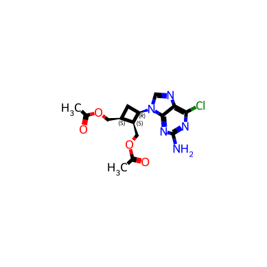 CC(=O)OC[C@H]1C[C@@H](n2cnc3c(Cl)nc(N)nc32)[C@H]1COC(C)=O